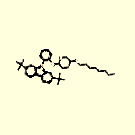 CCCCCCCCOC1CCC(Oc2ccccc2-n2c3cc(C(C)(C)C)ccc3c3ccc(C(C)(C)C)cc32)OC1